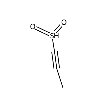 CC#C[SH](=O)=O